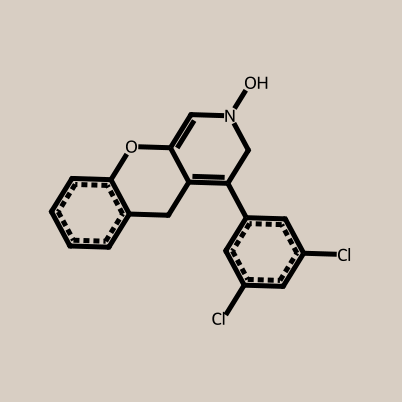 ON1C=C2Oc3ccccc3CC2=C(c2cc(Cl)cc(Cl)c2)C1